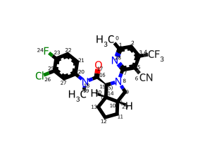 Cc1cc(C(F)(F)F)c(C#N)c(N2C[C@@H]3CCC[C@@H]3[C@H]2C(=O)N(C)c2ccc(F)c(Cl)c2)n1